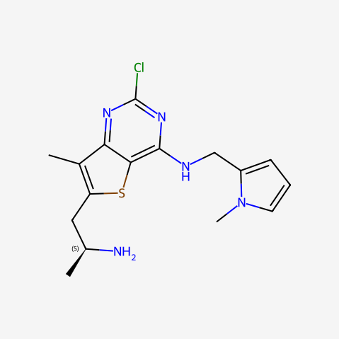 Cc1c(C[C@H](C)N)sc2c(NCc3cccn3C)nc(Cl)nc12